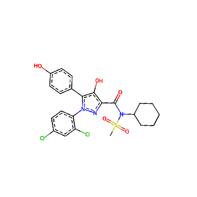 CS(=O)(=O)N(C(=O)c1nn(-c2ccc(Cl)cc2Cl)c(-c2ccc(O)cc2)c1O)C1CCCCC1